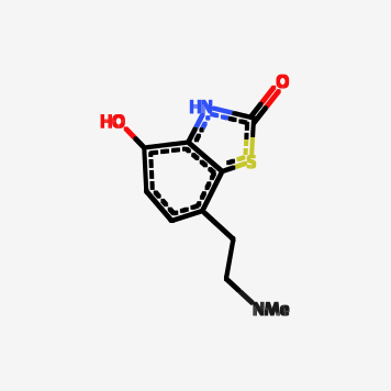 CNCCc1ccc(O)c2[nH]c(=O)sc12